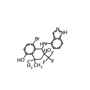 CC1(C)CC(O)(C(F)(F)F)C(Nc2cccc3[nH]ncc23)c2c(Br)ccc(O)c21